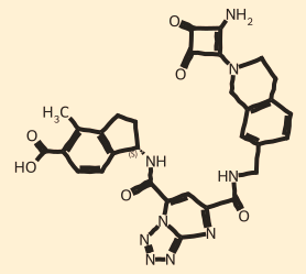 Cc1c(C(=O)O)ccc2c1CC[C@@H]2NC(=O)c1cc(C(=O)NCc2ccc3c(c2)CN(c2c(N)c(=O)c2=O)CC3)nc2nnnn12